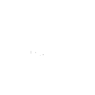 CCC(C)(C)NC(=O)CCCCCC(C)(C)C